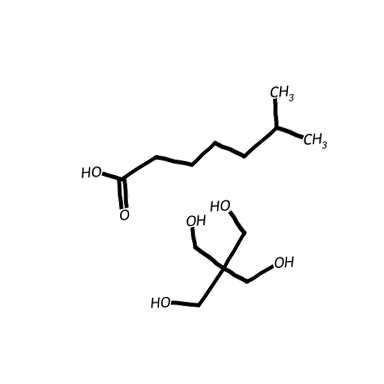 CC(C)CCCCC(=O)O.OCC(CO)(CO)CO